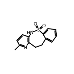 Cc1ccc2c(n1)CCc1ccccc1S(=O)(=O)N2